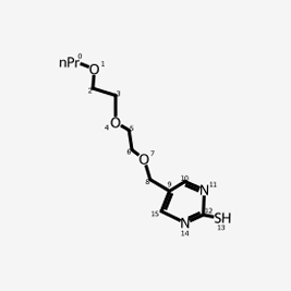 CCCOCCOCCOCc1cnc(S)nc1